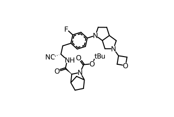 CC(C)(C)OC(=O)N1C2CCC(C2)[C@H]1C(=O)N[C@H](C#N)Cc1ccc(N2CCC3CN(C4COC4)CC32)cc1F